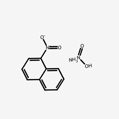 N.O=NO.O=[N+]([O-])c1cccc2ccccc12